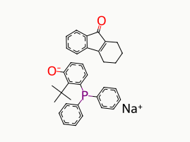 CC(C)(C)c1c([O-])cccc1P(c1ccccc1)c1ccccc1.O=C1C2=C(CCCC2)c2ccccc21.[Na+]